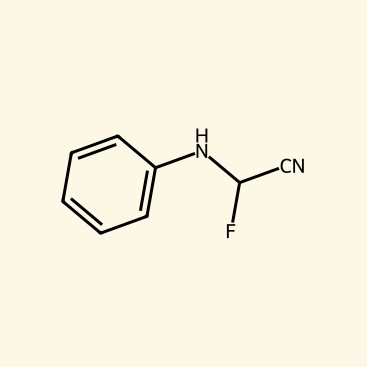 N#CC(F)Nc1ccccc1